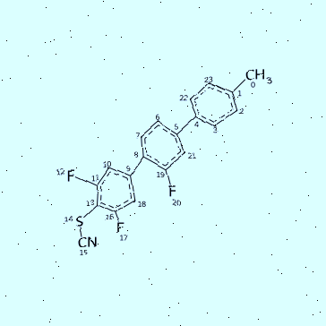 Cc1ccc(-c2ccc(-c3cc(F)c(SC#N)c(F)c3)c(F)c2)cc1